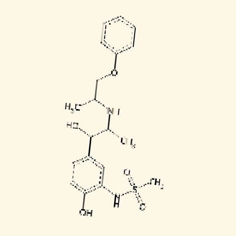 CC(COc1ccccc1)NC(C)C(O)c1ccc(O)c(NS(C)(=O)=O)c1